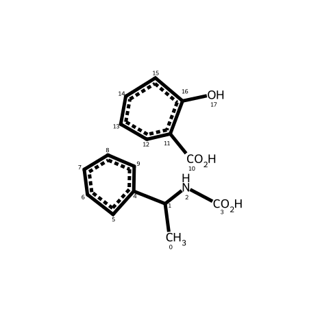 CC(NC(=O)O)c1ccccc1.O=C(O)c1ccccc1O